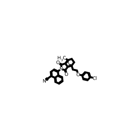 CC12CCC(CCOc3ccc(Cl)cc3)(O1)C1C(=O)N(c3ccc(C#N)c4ccccc34)C(=O)C12